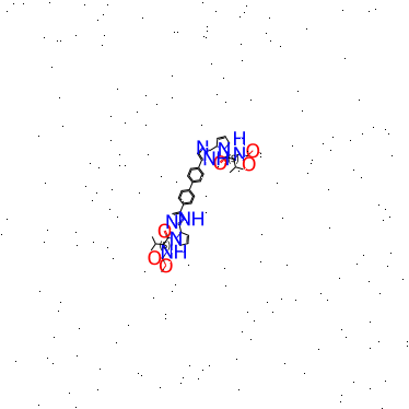 COC(=O)N[C@H](C(=O)N1CC=CC1c1ncc(-c2ccc(-c3ccc(-c4cnc(C5C=CCN5C(=O)[C@@H](NC(=O)OC)C(C)C)[nH]4)cc3)cc2)[nH]1)C(C)C